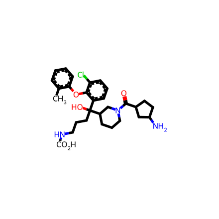 Cc1ccccc1Oc1c(Cl)cccc1C(O)(CCCNC(=O)O)C1CCCN(C(=O)C2CCC(N)C2)C1